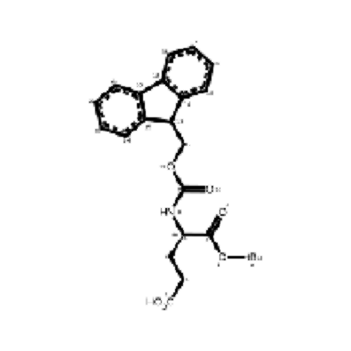 CC(C)(C)OC(=O)[C@@H](CCC(=O)O)NC(=O)OCC1c2ccccc2-c2ccccc21